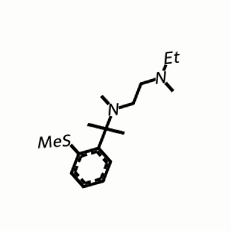 CCN(C)CCN(C)C(C)(C)c1ccccc1SC